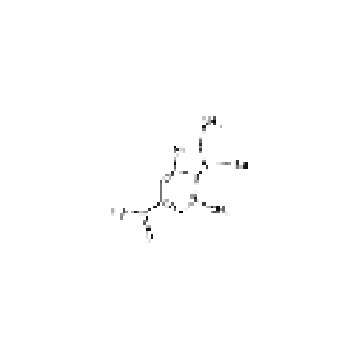 CCCCn1c(N)nc2cc(C(N)=O)cc(C)c21